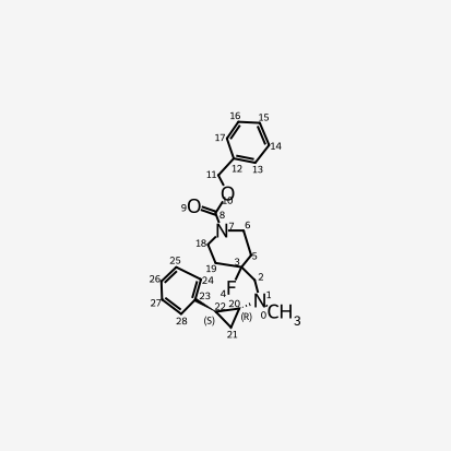 CN(CC1(F)CCN(C(=O)OCc2ccccc2)CC1)[C@@H]1C[C@H]1c1ccccc1